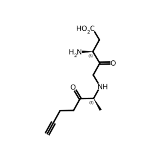 C#CCCC(=O)[C@H](C)NCC(=O)[C@@H](N)CC(=O)O